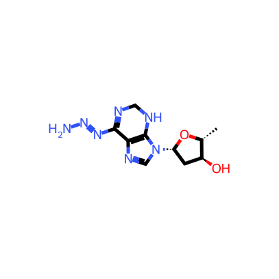 C[C@H]1O[C@@H](n2cnc3c2NCN=C3N=NN)C[C@@H]1O